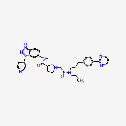 CCCN(CCCc1ccc(-c2ncccn2)cc1)C(=O)CN1CC[C@@H](C(=O)Nc2ccc3[nH]nc(-c4ccncc4)c3c2)C1